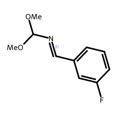 COC(/N=C/c1cccc(F)c1)OC